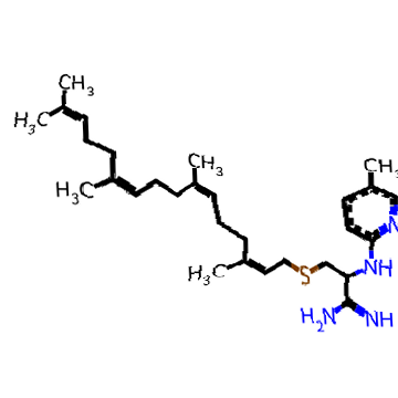 CC(C)=CCCC(C)=CCCC(C)=CCCC(C)=CCSCC(Nc1ccc(C)cn1)C(=N)N